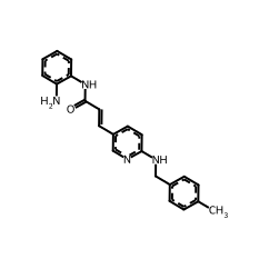 Cc1ccc(CNc2ccc(C=CC(=O)Nc3ccccc3N)cn2)cc1